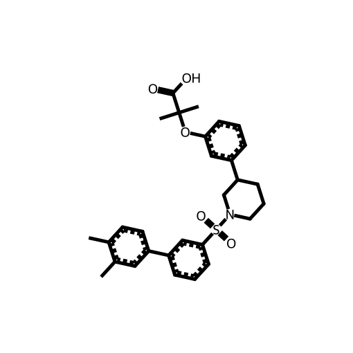 Cc1ccc(-c2cccc(S(=O)(=O)N3CCCC(c4cccc(OC(C)(C)C(=O)O)c4)C3)c2)cc1C